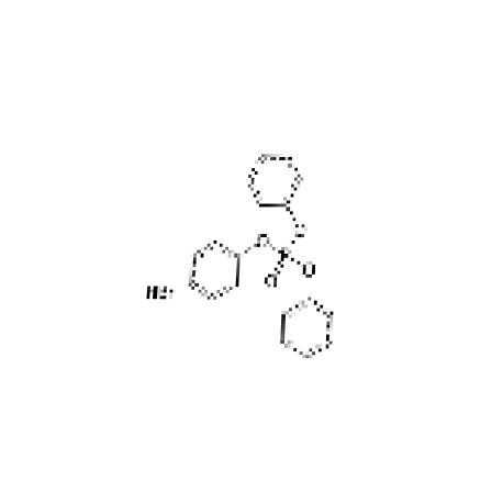 Br.O=P(Oc1ccccc1)(Oc1ccccc1)Oc1ccccc1